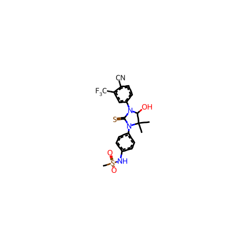 CC1(C)C(O)N(c2ccc(C#N)c(C(F)(F)F)c2)C(=S)N1c1ccc(NS(C)(=O)=O)cc1